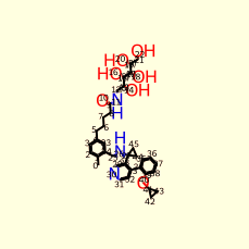 Cc1ccc(CCCCC(=O)NC[C@H](O)[C@@H](O)[C@H](O)[C@H](O)CO)cc1CNC1(c2cnccc2-c2ccccc2OC2CC2)CC1